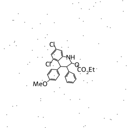 CCOC(=O)OC1Nc2cc(Cl)cc(Cl)c2C(c2ccc(OC)cc2)C1c1ccccc1